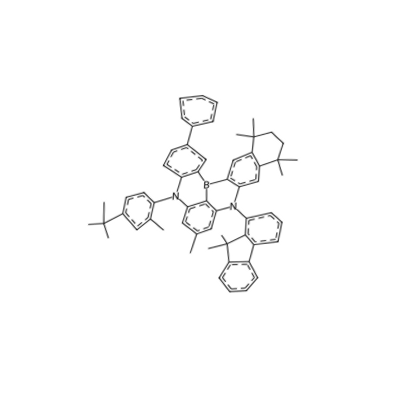 Cc1cc2c3c(c1)N(c1cccc4c1C(C)(C)c1ccccc1-4)c1cc4c(cc1B3c1cc(-c3ccccc3)ccc1N2c1ccc(C(C)(C)C)cc1C)C(C)(C)CCC4(C)C